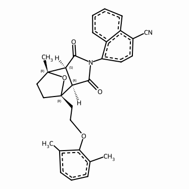 Cc1cccc(C)c1OCC[C@@]12CC[C@@](C)(O1)[C@H]1C(=O)N(c3ccc(C#N)c4ccccc34)C(=O)[C@H]12